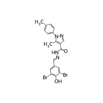 Cc1ccc(-n2ncc(C(=O)N/N=C/c3cc(Br)c(O)c(Br)c3)c2C)cc1